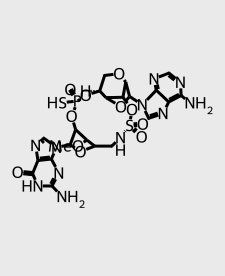 COC1C2CNS(=O)(=O)OC3C4OC[C@H](OP(=O)(S)OC1C(n1cnc5c(=O)[nH]c(N)nc51)O2)C3OC4n1cnc2c(N)ncnc21